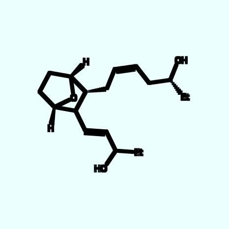 CCC(O)/C=C/C1[C@@H]2CC[C@@H](O2)[C@@H]1C/C=C\C[C@H](O)CC